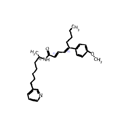 CCCC/C(=C\C=C\C(=O)N[C@H](C)CCCCCc1cccnc1)c1ccc(OC)cc1